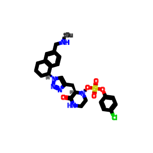 CC(C)(C)NCc1ccc2c(c1)CCC[C@H]2n1cc(C[C@@H]2C(=O)NCCN2OS(=O)(=O)Oc2ccc(Cl)cc2)nn1